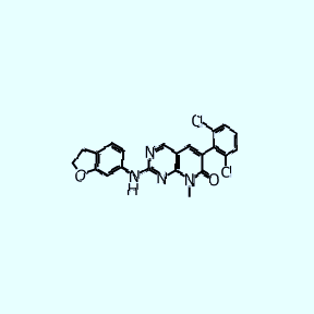 Cn1c(=O)c(-c2c(Cl)cccc2Cl)cc2cnc(Nc3ccc4c(c3)OCC4)nc21